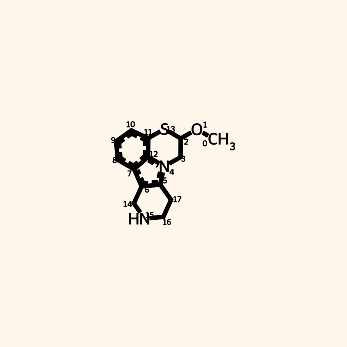 COC1Cn2c3c(c4cccc(c42)S1)CNCC3